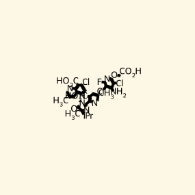 Cc1cnc(C2=NC(C)(C(C)C)C(=O)N2)c(C(=O)O)c1.Cc1cnc2c(C(=O)O)c(Cl)ccc2c1.Nc1c(Cl)c(F)nc(OCC(=O)O)c1Cl